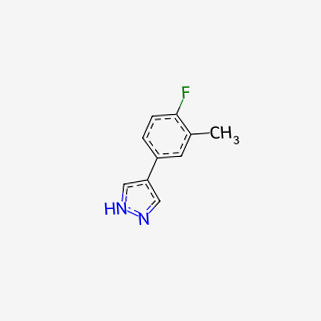 Cc1cc(-c2cn[nH]c2)ccc1F